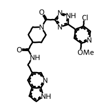 COc1cc(-c2nc(C(=O)N3CCC(C(=O)NCc4cnc5[nH]ccc5c4)CC3)n[nH]2)c(Cl)cn1